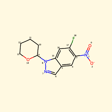 O=[N+]([O-])c1cc2cnn(C3CCCCO3)c2cc1F